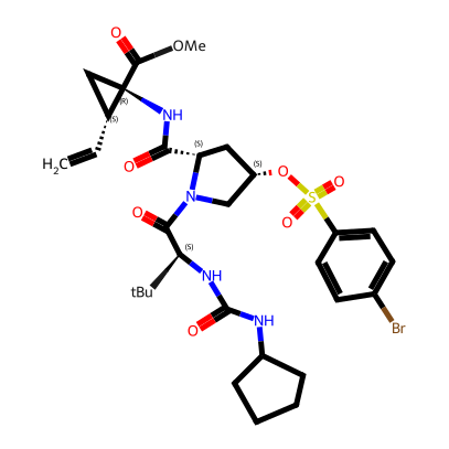 C=C[C@@H]1C[C@]1(NC(=O)[C@@H]1C[C@H](OS(=O)(=O)c2ccc(Br)cc2)CN1C(=O)[C@@H](NC(=O)NC1CCCC1)C(C)(C)C)C(=O)OC